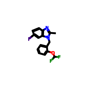 Cc1nc2ccc(I)cc2n1Cc1ccccc1OC(F)F